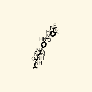 CC(C)CNC(=O)Nc1ncnc2c1ncn2-c1ccc(NC(=O)Nc2ccc(Cl)c(C(F)(F)F)c2)cc1